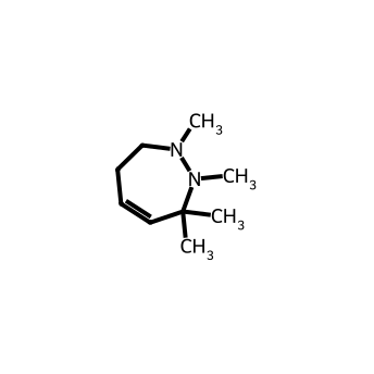 CN1CCC=CC(C)(C)N1C